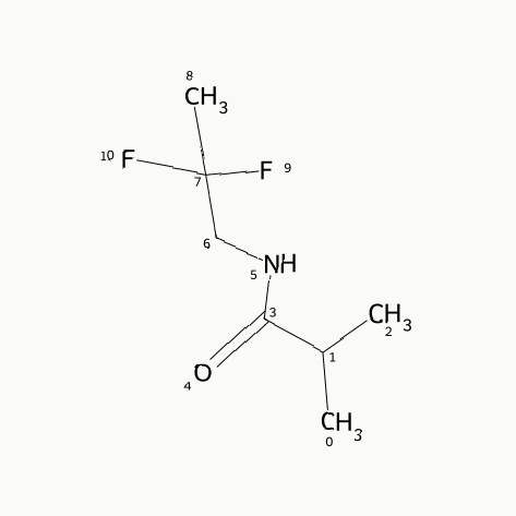 CC(C)C(=O)NCC(C)(F)F